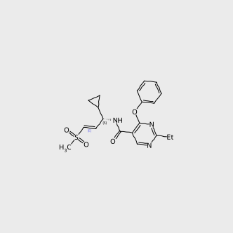 CCc1ncc(C(=O)N[C@H](/C=C/S(C)(=O)=O)C2CC2)c(Oc2ccccc2)n1